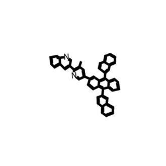 Cc1cc(-c2ccc3c(-c4ccc5ccccc5c4)c4ccccc4c(-c4ccc5ccccc5c4)c3c2)cnc1-c1cnc2ccccc2c1